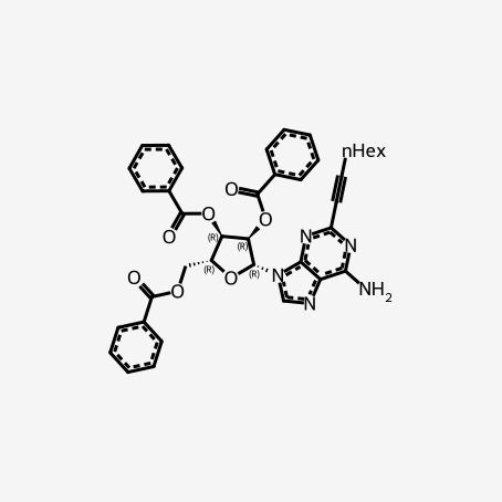 CCCCCCC#Cc1nc(N)c2ncn([C@@H]3O[C@H](COC(=O)c4ccccc4)[C@@H](OC(=O)c4ccccc4)[C@H]3OC(=O)c3ccccc3)c2n1